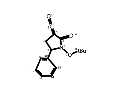 CC(C)(C)ON1C(=O)C(=C=O)CC1c1ccccc1